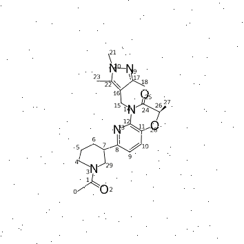 CC(=O)N1CCCC(c2ccc3c(n2)N(Cc2c(C)nn(C)c2C)C(=O)[C@@H](C)O3)C1